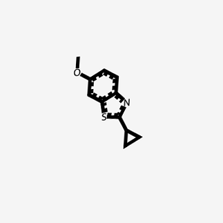 COc1ccc2nc(C3CC3)sc2c1